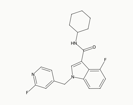 O=C(NC1CCCCC1)c1cn(Cc2ccnc(F)c2)c2cccc(F)c12